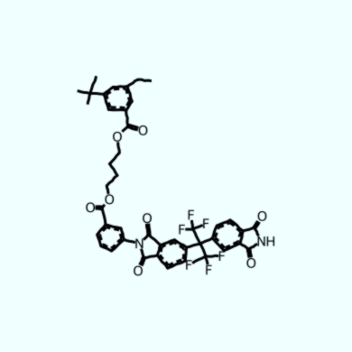 CCc1cc(C(=O)OCCCCOC(=O)c2cccc(N3C(=O)c4ccc(C(c5ccc6c(c5)C(=O)NC6=O)(C(F)(F)F)C(F)(F)F)cc4C3=O)c2)cc(C(C)(C)C)c1